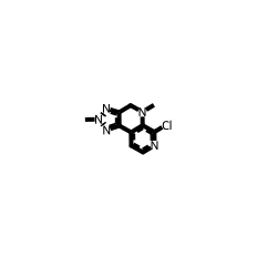 CN1Cc2nn(C)nc2-c2ccnc(Cl)c21